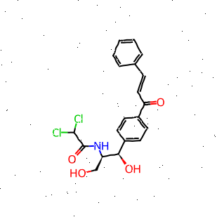 O=C(C=Cc1ccccc1)c1ccc([C@@H](O)[C@@H](CO)NC(=O)C(Cl)Cl)cc1